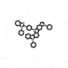 c1ccc(-n2ccc3cc4c(cc32)c2ccc3c(c5ccccc5n3-c3ccccc3)c2n4-c2ccc(-c3nc4ccccc4n3-c3ccccc3)cc2)cc1